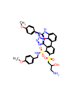 COc1ccc(CNS(=O)(=O)c2c(S(=O)(=O)CC(O)CN)ccc(-c3cccc4[nH]c(N)nc34)c2-c2nnn(Cc3ccc(OC)cc3)n2)cc1